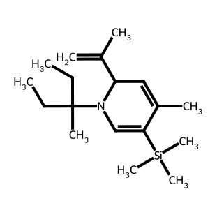 C=C(C)C1C=C(C)C([Si](C)(C)C)=CN1C(C)(CC)CC